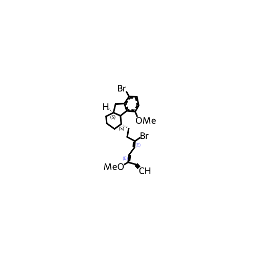 C#C/C(=C\C=C(\Br)CC[C@@H]1CCC[C@H]2Cc3c(Br)ccc(OC)c3C12)OC